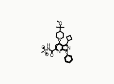 COC(C)(C)C1CCN(c2cc(C(=O)NS(C)(=O)=O)nc3c2c(C2CCC2)nn3-c2ccccc2)CC1